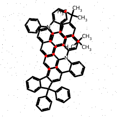 CC(C)(C)c1cc(-c2cccc3cccc(-c4ccccc4N(c4ccccc4-c4ccc5c(c4)C(c4ccccc4)(c4ccccc4)c4ccccc4-5)c4ccccc4-c4ccc5c6ccccc6n(-c6ccccc6)c5c4)c23)cc(C(C)(C)C)c1